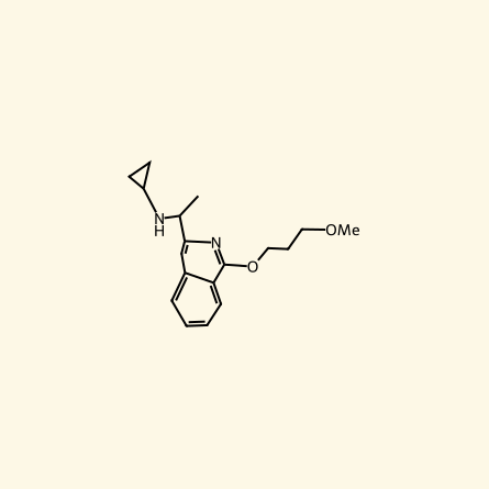 COCCCOc1nc(C(C)NC2CC2)cc2ccccc12